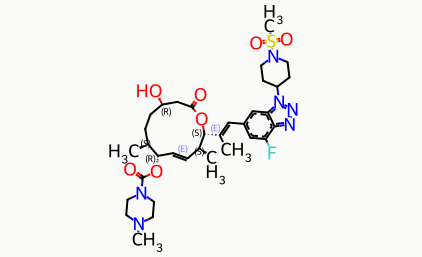 C/C(=C\c1cc(F)c2nnn(C3CCN(S(C)(=O)=O)CC3)c2c1)[C@H]1OC(=O)C[C@H](O)CC[C@H](C)[C@@H](OC(=O)N2CCN(C)CC2)/C=C/[C@@H]1C